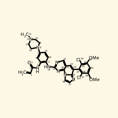 C=CC(=O)Nc1cc(N2CCN(C)CC2)ccc1Nc1ncc2cc(-c3c(Cl)c(OC)cc(OC)c3Cl)c3nccn3c2n1